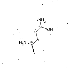 C[C@@H](N)CCC(N)O